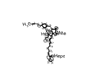 CC#CCOc1ccc(C[C@H](NC(=O)[C@@H](C=CCCCCCCC2(CCCCCCC)OCCO2)[C@@](O)(CCO)C(=O)O)C(=O)OC)cc1